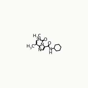 Cc1cn(C)c(=O)n2c(C(=O)NC3CCCCC3)cnc12